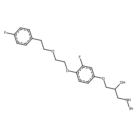 CC(C)NCC(O)COc1ccc(OCCOCCc2ccc(F)cc2)c(F)c1